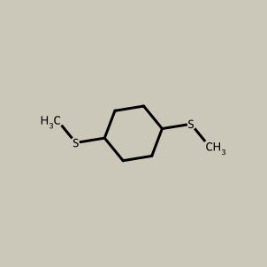 CSC1CCC(SC)CC1